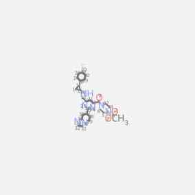 CS(=O)(=O)N1CCN(C(=O)c2cc(CN[C@@H]3C[C@H]3c3ccc(F)cc3)nc(-c3ccn4ccnc4c3)n2)CC1